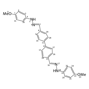 COc1ccc(N/N=C/c2ccc(-c3ccc(/C=N/Nc4ccc(OC)cc4)cc3)cc2)cc1